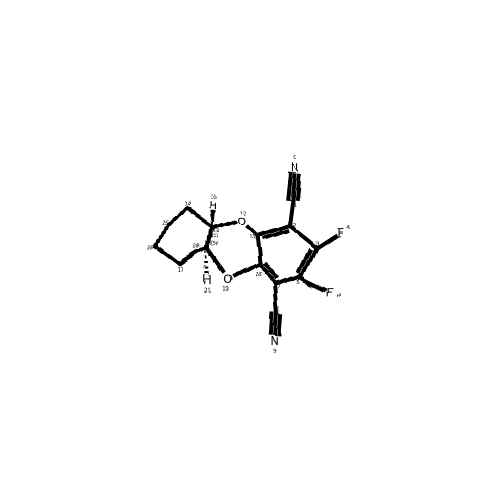 N#Cc1c(F)c(F)c(C#N)c2c1O[C@H]1CCCC[C@@H]1O2